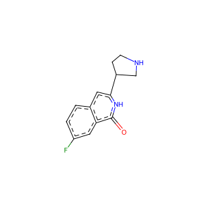 O=c1[nH]c(C2CCNC2)cc2ccc(F)cc12